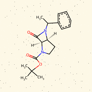 CC(c1ccccc1)N1C(=O)[C@H]2[C@@H]1CCN2C(=O)OC(C)(C)C